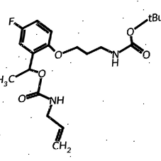 C=CCNC(=O)OC(C)c1cc(F)ccc1OCCCNC(=O)OC(C)(C)C